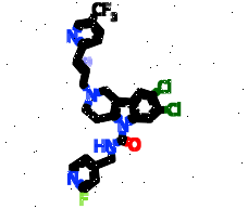 O=C(NCc1ccnc(F)c1)n1c2c(c3cc(Cl)c(Cl)cc31)CN(C/C=C/c1ccc(C(F)(F)F)cn1)CC2